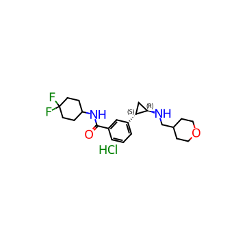 Cl.O=C(NC1CCC(F)(F)CC1)c1cccc([C@@H]2C[C@H]2NCC2CCOCC2)c1